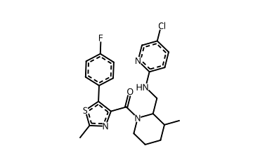 Cc1nc(C(=O)N2CCCC(C)C2CNc2ccc(Cl)cn2)c(-c2ccc(F)cc2)s1